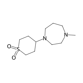 CN1CCCN(C2CCS(=O)(=O)CC2)CC1